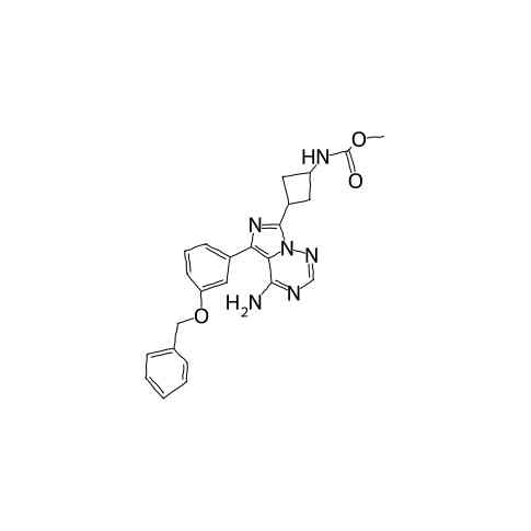 COC(=O)NC1CC(c2nc(-c3cccc(OCc4ccccc4)c3)c3c(N)ncnn23)C1